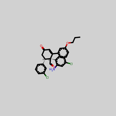 CCCOc1cccc(C2=CC(=O)C[C@@H](c3cccc(Cl)c3)[C@@]2(C=O)c2ccc(Cl)cc2N)c1